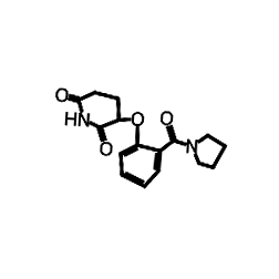 O=C1CCC(Oc2ccccc2C(=O)N2CCCC2)C(=O)N1